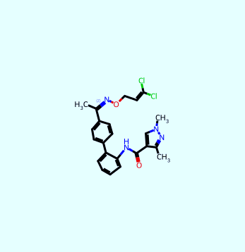 C/C(=N/OCC=C(Cl)Cl)c1ccc(-c2ccccc2NC(=O)c2cn(C)nc2C)cc1